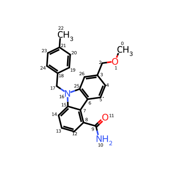 COCc1c[c]c2c3c(C(N)=O)cccc3n(Cc3ccc(C)cc3)c2c1